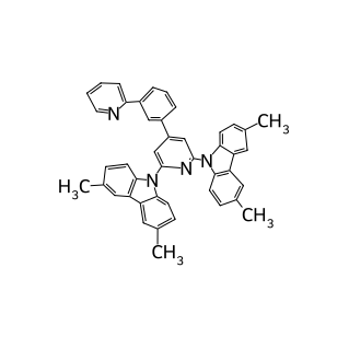 Cc1ccc2c(c1)c1cc(C)ccc1n2-c1cc(-c2cccc(-c3ccccn3)c2)cc(-n2c3ccc(C)cc3c3cc(C)ccc32)n1